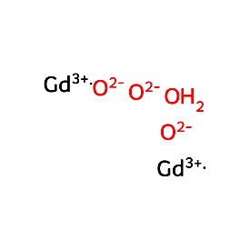 O.[Gd+3].[Gd+3].[O-2].[O-2].[O-2]